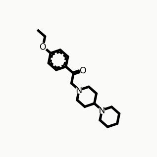 CCOc1ccc(C(=O)CN2CCC(N3CCCCC3)CC2)cc1